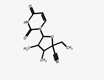 CCC1(C#N)OC(n2ccc(=O)[nH]c2=O)C(C)C1C